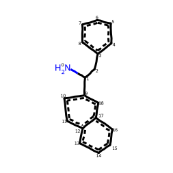 NC(Cc1ccccc1)c1ccc2ccccc2c1